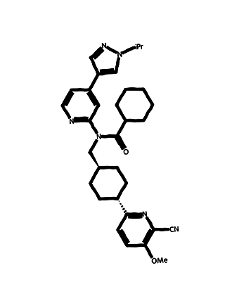 COc1ccc([C@H]2CC[C@H](CN(C(=O)C3CCCCC3)c3cc(-c4cnn(C(C)C)c4)ccn3)CC2)nc1C#N